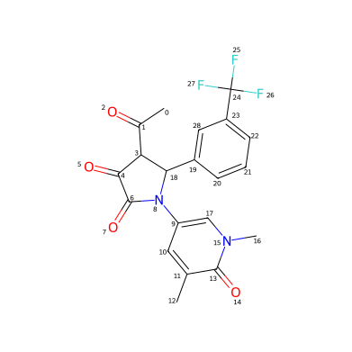 CC(=O)C1C(=O)C(=O)N(c2cc(C)c(=O)n(C)c2)C1c1cccc(C(F)(F)F)c1